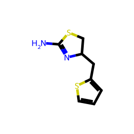 NC1=NC(Cc2cccs2)CS1